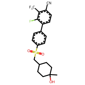 CC1(O)CCC(CS(=O)(=O)c2ccc(-c3ccc(C#N)c(C(F)(F)F)c3F)cc2)CC1